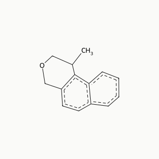 CC1COCc2ccc3ccccc3c21